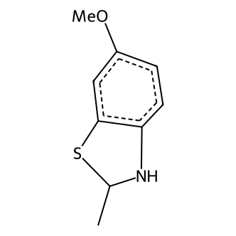 COc1ccc2c(c1)SC(C)N2